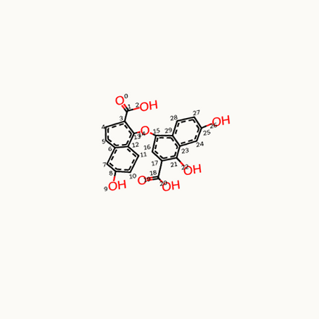 O=C(O)c1ccc2cc(O)ccc2c1Oc1cc(C(=O)O)c(O)c2cc(O)ccc12